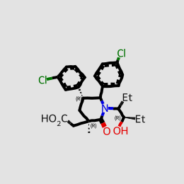 CCC([C@H](O)CC)N1C(=O)[C@@](C)(CC(=O)O)C[C@H](c2cccc(Cl)c2)C1c1ccc(Cl)cc1